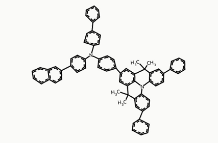 CC1(C)c2cc(-c3ccccc3)ccc2N2c3ccc(-c4ccccc4)cc3C(C)(C)c3cc(-c4ccc(N(c5ccc(-c6ccccc6)cc5)c5ccc(-c6ccc7ccccc7c6)cc5)cc4)cc1c32